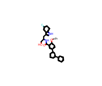 CCCOc1ccc(-c2cccc(-c3ccccc3)c2)cc1C(=O)NC(CO)Cc1c[nH]c2ccc(F)cc12